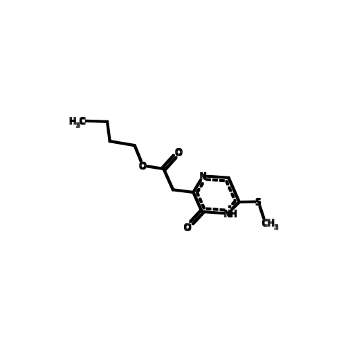 CCCCOC(=O)Cc1ncc(SC)[nH]c1=O